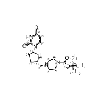 CC(C)(C)OC(=O)N1CCN(C[C@@H]2CC[C@H](n3ccc(=O)[nH]c3=O)O2)CC1